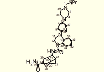 CC(C)CN1CCN(c2ccc(N3CCN(C(=O)NC4C5CC6CC4CC(C(N)=O)(C6)C5)c4ccccc43)nc2)CC1